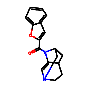 O=C(c1cc2ccccc2o1)N1C2=CN3CCC2CC1C3